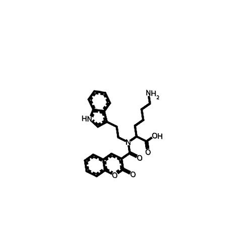 NCCCCC(C(=O)O)N(CCc1c[nH]c2ccccc12)C(=O)c1cc2ccccc2oc1=O